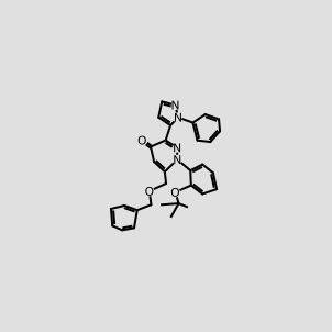 CC(C)(C)Oc1ccccc1-n1nc(-c2ccnn2-c2ccccc2)c(=O)cc1COCc1ccccc1